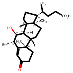 CC[C@H]1C2=CC(=O)CC[C@]2(C)[C@H]2CC[C@]3(C)[C@@H](C(C)CCC(=O)O)CC[C@H]3[C@@H]2[C@@H]1O